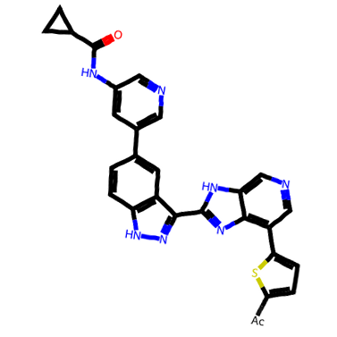 CC(=O)c1ccc(-c2cncc3[nH]c(-c4n[nH]c5ccc(-c6cncc(NC(=O)C7CC7)c6)cc45)nc23)s1